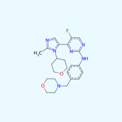 Cc1ncc(-c2nc(Nc3ccc(CN4CCOCC4)cc3)ncc2F)n1C1CCOCC1